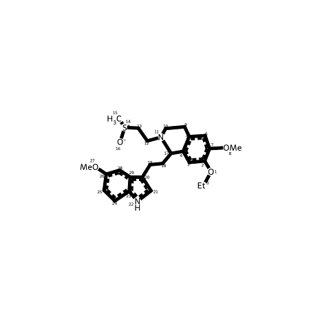 CCOc1cc2c(cc1OC)CCN(CC[S+](C)[O-])C2CCc1c[nH]c2ccc(OC)cc12